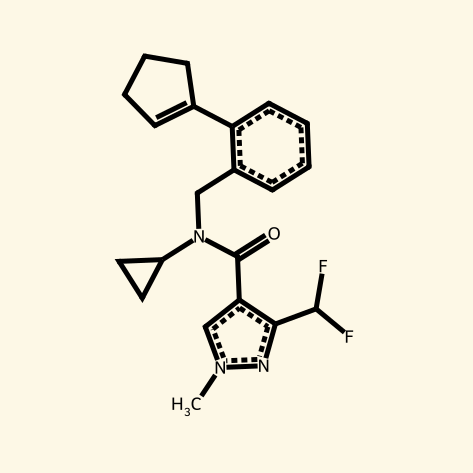 Cn1cc(C(=O)N(Cc2ccccc2C2=CCCC2)C2CC2)c(C(F)F)n1